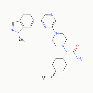 CO[C@H]1CC[C@H](C(C(N)=O)N2CCN(c3cncc(-c4ccc5cnn(C)c5c4)n3)CC2)CC1